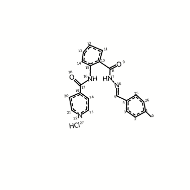 Cc1ccc(C=NNC(=O)c2ccccc2NC(=O)c2ccncc2)cc1.Cl